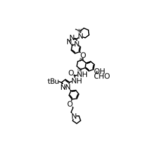 C[C@H]1CCCCN1c1nnc2ccc(O[C@@H]3CC[C@H](NC(=O)Nc4cc(C(C)(C)C)nn4-c4cccc(OCCN5CCCC5)c4)c4ccccc43)cn12.O=CO